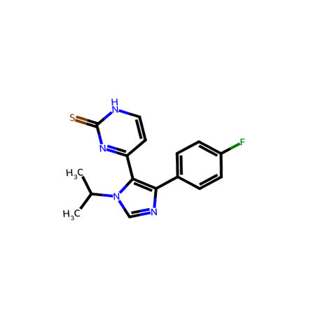 CC(C)n1cnc(-c2ccc(F)cc2)c1-c1cc[nH]c(=S)n1